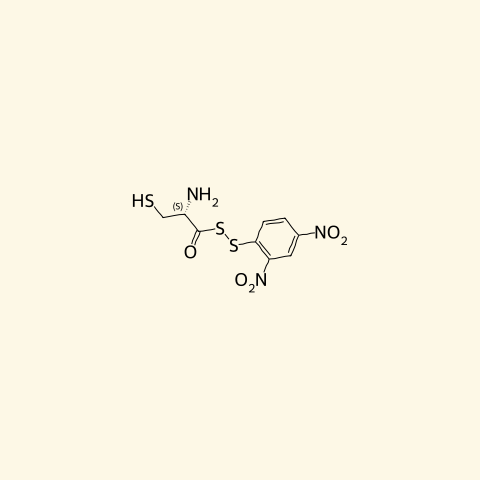 N[C@@H](CS)C(=O)SSc1ccc([N+](=O)[O-])cc1[N+](=O)[O-]